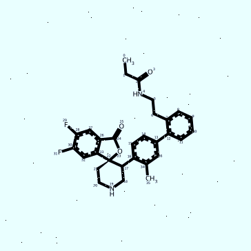 CCC(=O)NCCc1ccccc1-c1ccc(C2CNCC[C@@]23OC(=O)c2cc(F)c(F)cc23)c(C)c1